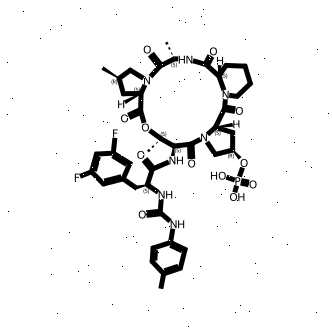 Cc1ccc(NC(=O)N[C@@H](Cc2cc(F)cc(F)c2)C(=O)N[C@@H]2C(=O)N3C[C@H](OP(=O)(O)O)C[C@H]3C(=O)N3CCCC[C@H]3C(=O)N[C@@H](C)C(=O)N3C[C@H](C)C[C@H]3C(=O)O[C@H]2C)cc1